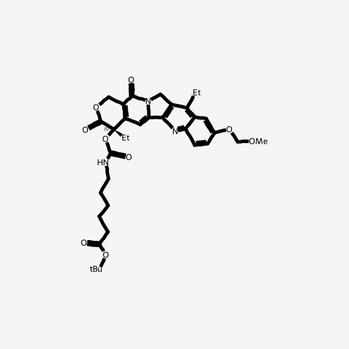 CCc1c2c(nc3ccc(OCOC)cc13)-c1cc3c(c(=O)n1C2)COC(=O)[C@@]3(CC)OC(=O)NCCCCCC(=O)OC(C)(C)C